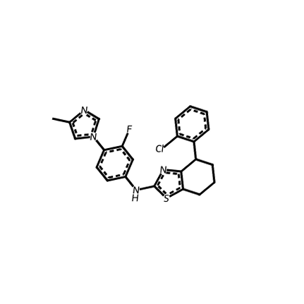 Cc1cn(-c2ccc(Nc3nc4c(s3)CCCC4c3ccccc3Cl)cc2F)cn1